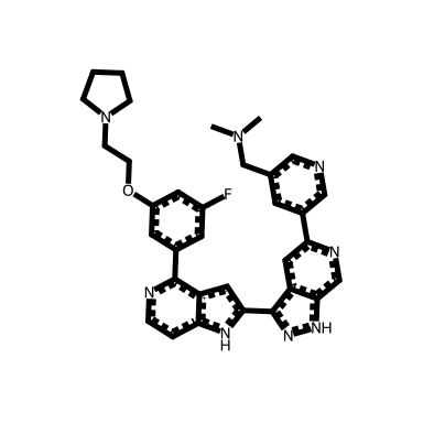 CN(C)Cc1cncc(-c2cc3c(-c4cc5c(-c6cc(F)cc(OCCN7CCCC7)c6)nccc5[nH]4)n[nH]c3cn2)c1